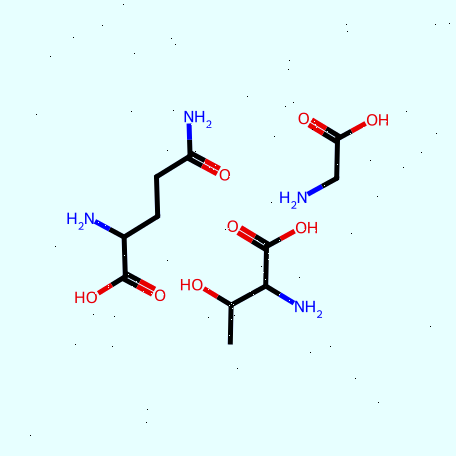 CC(O)C(N)C(=O)O.NC(=O)CCC(N)C(=O)O.NCC(=O)O